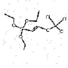 CCO[Si](C=COC(Cl)(Cl)Cl)(OCC)OCC